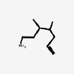 C=CCC(C)C(C)CCN